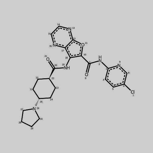 O=C(Nc1ccc(Cl)cn1)c1oc2nccnc2c1NC(=O)[C@H]1CC[C@H](N2CCCC2)CC1